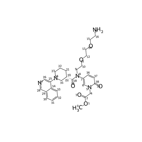 COC(=O)Cn1cc(N(CCOCCOCCN)C(=O)[C@H]2CCCN(c3cncc4ccccc34)C2)ccc1=O